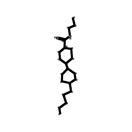 CCCCCC1CCC(C2CCC(C(=O)OCCC)CC2)CC1